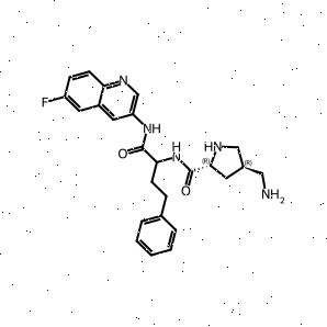 NC[C@@H]1CN[C@@H](C(=O)NC(CCc2ccccc2)C(=O)Nc2cnc3ccc(F)cc3c2)C1